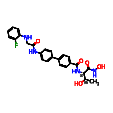 C[C@@H](O)[C@H](NC(=O)c1ccc(-c2ccc(NC(=O)CNc3ccccc3F)cc2)cc1)C(=O)NO